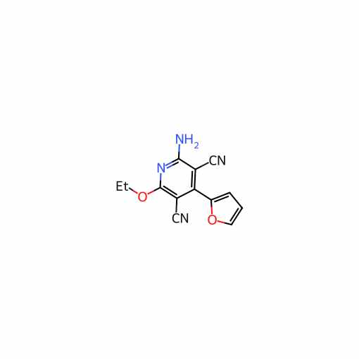 CCOc1nc(N)c(C#N)c(-c2ccco2)c1C#N